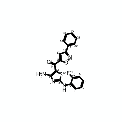 Nc1nc(Nc2ccccc2F)sc1C(=O)c1cc(-c2ccccc2)no1